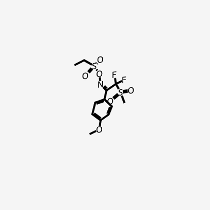 CCS(=O)(=O)ON=C(c1ccc(OC)cc1)C(F)(F)S(C)(=O)=O